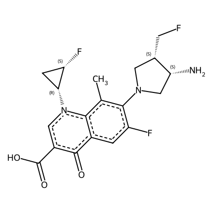 Cc1c(N2C[C@H](CF)[C@H](N)C2)c(F)cc2c(=O)c(C(=O)O)cn([C@@H]3C[C@@H]3F)c12